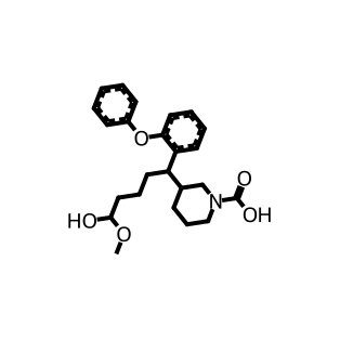 COC(O)CCCC(c1ccccc1Oc1ccccc1)C1CCCN(C(=O)O)C1